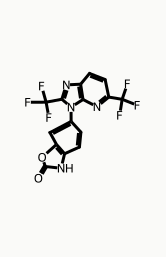 O=c1[nH]c2ccc(-n3c(C(F)(F)F)nc4ccc(C(F)(F)F)nc43)cc2o1